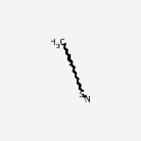 CCCCCCCCCCCCCCCCCCSC#N